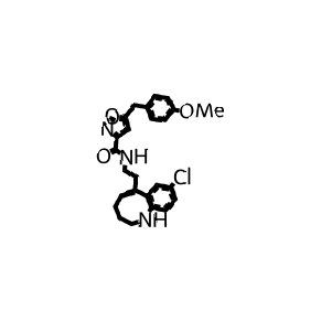 COc1ccc(Cc2cc(C(=O)NCC/C3=C/CCCNc4ccc(Cl)cc43)no2)cc1